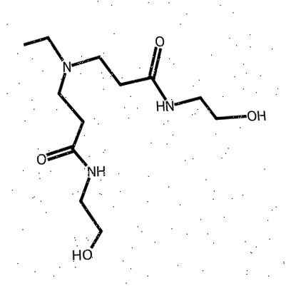 CCN(CCC(=O)NCCO)CCC(=O)NCCO